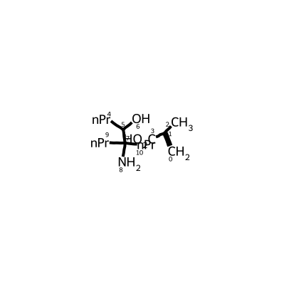 C=C(C)C(=O)O.CCCC(O)C(N)(CCC)CCC